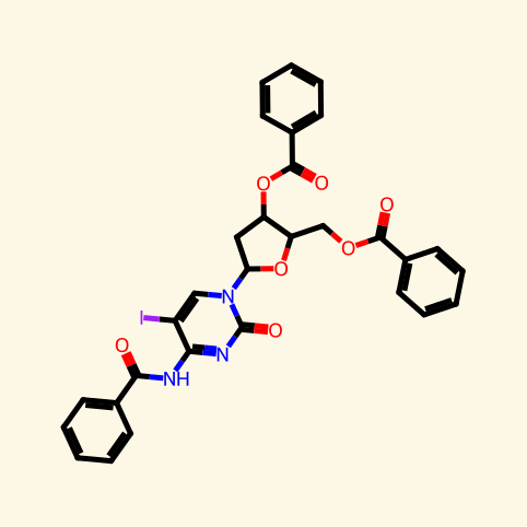 O=C(Nc1nc(=O)n(C2CC(OC(=O)c3ccccc3)C(COC(=O)c3ccccc3)O2)cc1I)c1ccccc1